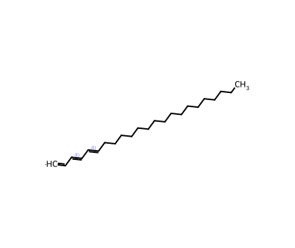 [CH]=C/C=C/C=C/CCCCCCCCCCCCCCCCC